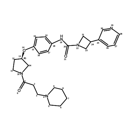 O=C(CCN1CCCCC1)N1CC[C@@H](Oc2ccc(NC(=O)N3CC(c4cccnc4)C3)cc2)C1